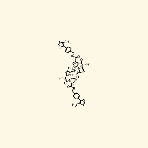 Cc1cnc([C@H](C(=O)N2C[C@H](OCc3nc([C@H](C(=O)N4C[C@H](O)C[C@H]4C(=O)NCc4ccc(-c5scnc5C)cc4)C(C)C)cs3)C[C@H]2C(=O)NCc2ccc(-c3scnc3C)cc2)C(C)C)[nH]1